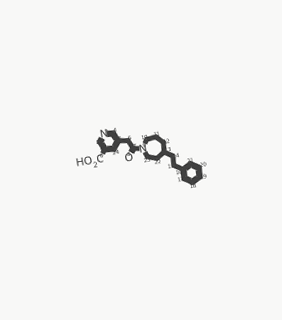 O=C(O)c1cncc(CC(=O)N2CCCC(CCc3ccccc3)CC2)c1